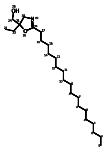 CCCCCCCCCCCCCCCCCCC1=NCC(CC)(CO)O1